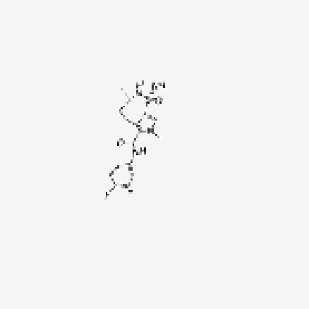 C[C@H]1CCc2c(cn(C)c2C(=O)Nc2ccc(F)c(F)c2)S(=N)(=O)N1